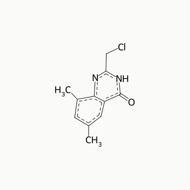 Cc1cc(C)c2nc(CCl)[nH]c(=O)c2c1